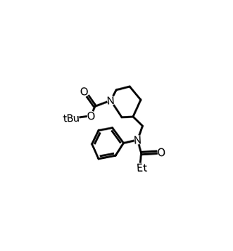 CCC(=O)N(CC1CCCN(C(=O)OC(C)(C)C)C1)c1ccccc1